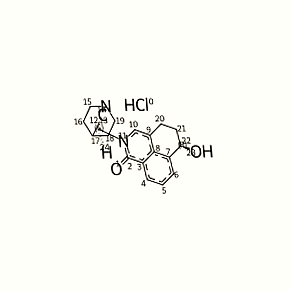 Cl.O=c1c2cccc3c2c(cn1[C@@H]1CN2CCC1CC2)CC[C@H]3O